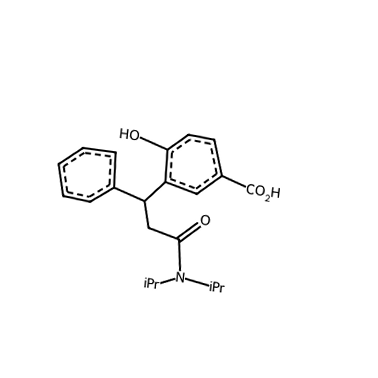 CC(C)N(C(=O)CC(c1ccccc1)c1cc(C(=O)O)ccc1O)C(C)C